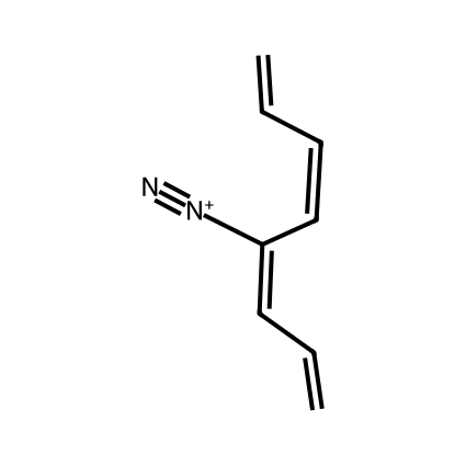 C=C/C=C\C(=C/C=C)[N+]#N